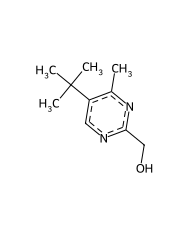 Cc1nc(CO)ncc1C(C)(C)C